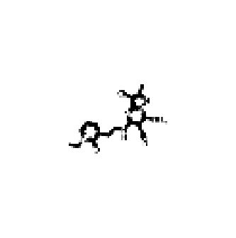 CCn1cccc(CCNc2nc3c(Cl)c(C)nn3c(N)c2C#N)c1=O